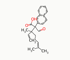 C=CC(C)(CCC=C(C)C)C(C=O)(C(=O)O)c1ccc2ccccc2c1